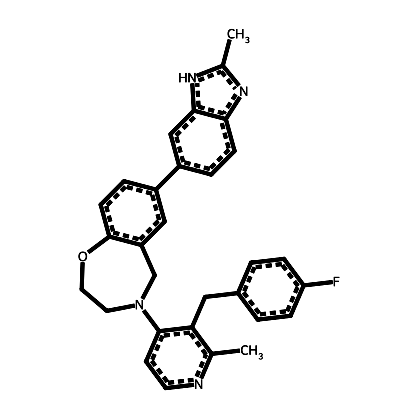 Cc1nc2ccc(-c3ccc4c(c3)CN(c3ccnc(C)c3Cc3ccc(F)cc3)CCO4)cc2[nH]1